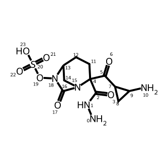 NNC(=O)C1(C(=O)C2CC2N)CCC2CN1C(=O)N2OS(=O)(=O)O